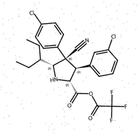 CCC(CC)[C@H]1N[C@@H](C(=O)OC(=O)C(F)(F)F)[C@H](c2cccc(Cl)c2)[C@@]1(C#N)c1ccc(Cl)cc1